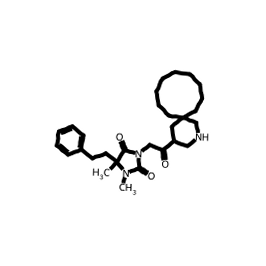 CN1C(=O)N(CC(=O)C2CNCC3(CCCCCCCCC3)C2)C(=O)C1(C)CCc1ccccc1